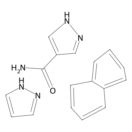 NC(=O)c1cn[nH]c1.c1ccc2ccccc2c1.c1cn[nH]c1